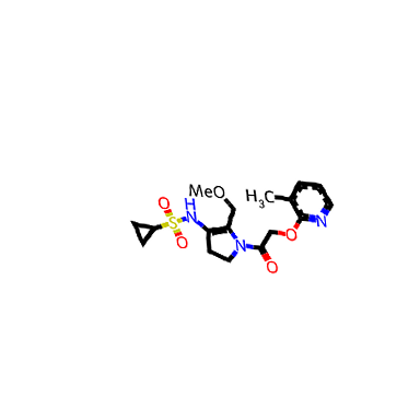 COCC1=C(NS(=O)(=O)C2CC2)CCN1C(=O)COc1ncccc1C